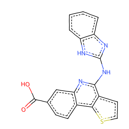 O=C(O)c1ccc2c(c1)nc(Nc1nc3ccccc3[nH]1)c1ccsc12